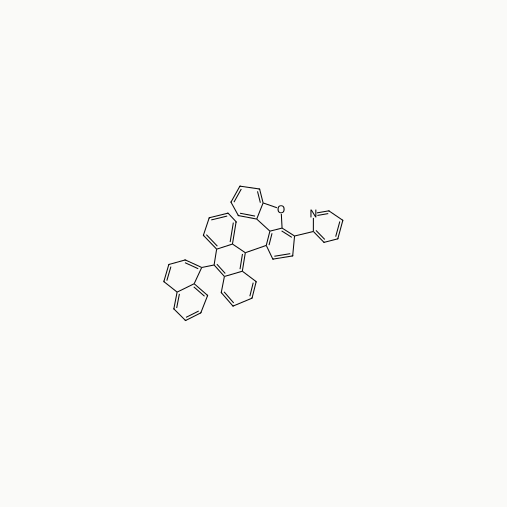 c1ccc(-c2ccc(-c3c4ccccc4c(-c4cccc5ccccc45)c4ccccc34)c3c2oc2ccccc23)nc1